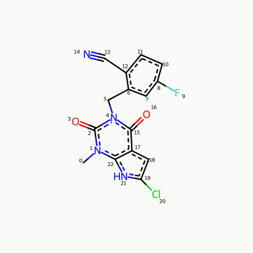 Cn1c(=O)n(Cc2cc(F)ccc2C#N)c(=O)c2cc(Cl)[nH]c21